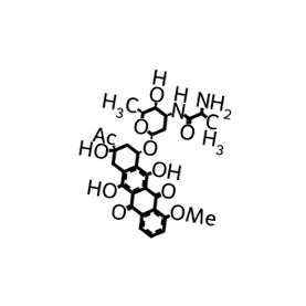 COc1cccc2c1C(=O)c1c(O)c3c(c(O)c1C2=O)C[C@@](O)(C(C)=O)C[C@@H]3O[C@H]1C[C@H](NC(=O)C(C)N)[C@H](O)[C@H](C)O1